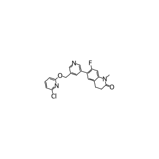 CN1C(=O)CCc2cc(-c3cncc(COc4cccc(Cl)n4)c3)c(F)cc21